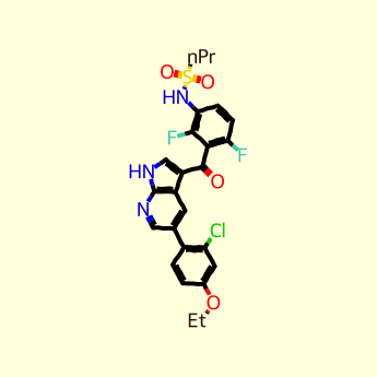 CCCS(=O)(=O)Nc1ccc(F)c(C(=O)c2c[nH]c3ncc(-c4ccc(OCC)cc4Cl)cc23)c1F